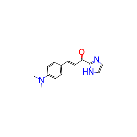 CN(C)c1ccc(/C=C/C(=O)c2ncc[nH]2)cc1